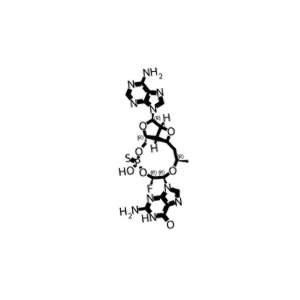 C[C@@H]1CC23O[C@H]4[C@H](n5cnc6c(N)ncnc65)O[C@@]2(COP(O)(=S)O[C@H](F)[C@H](n2cnc5c(=O)[nH]c(N)nc52)O1)[C@H]43